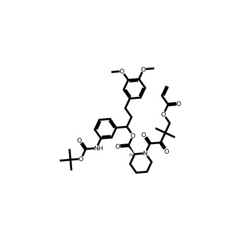 C=CC(=O)OCC(C)(C)C(=O)C(=O)N1CCCC[C@H]1C(=O)OC(CCc1ccc(OC)c(OC)c1)c1cccc(NC(=O)OC(C)(C)C)c1